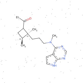 CCC(=O)C1C[C@H](C)[C@]1(C)CCCN(C)c1ncnc2[nH]ccc12